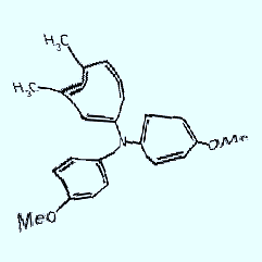 COc1ccc(N(c2ccc(OC)cc2)c2ccc(C)c(C)c2)cc1